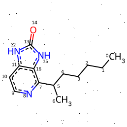 CCCCCC(C)c1nccc2[nH]c(=O)[nH]c12